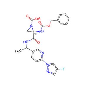 CC(NC(=O)[C@]1(NC(=O)OCc2ccccc2)CN1C(=O)O)c1ccc(-n2cc(F)cn2)nc1